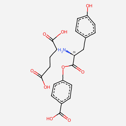 N[C@@H](Cc1ccc(O)cc1)C(=O)Oc1ccc(C(=O)O)cc1.O=C(O)CCCC(=O)O